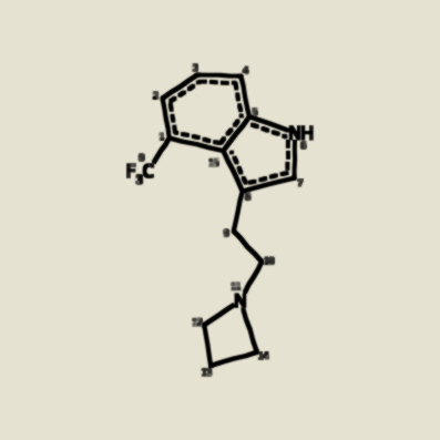 FC(F)(F)c1cccc2[nH]cc(CCN3CCC3)c12